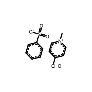 C[n+]1ccc(C=O)cc1.O=S(=O)([O-])c1ccccc1